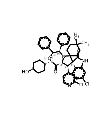 CC1(C)CCC2(CC1)N([C@H](c1ccccc1)[C@@H](O)c1ccccc1)[C@@H](C(=O)N[C@H]1CC[C@H](O)CC1)[C@H](c1ccnc(Cl)c1)[C@]21C(=O)Nc2cc(Cl)ccc21